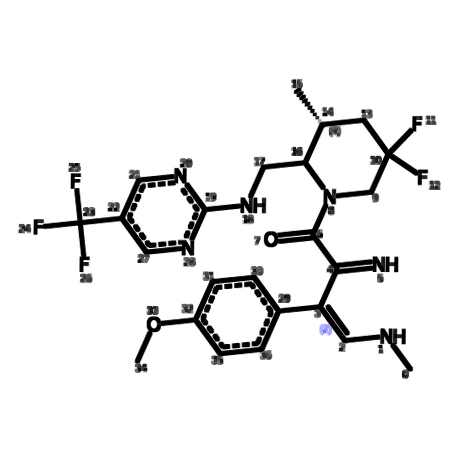 CN/C=C(\C(=N)C(=O)N1CC(F)(F)C[C@@H](C)C1CNc1ncc(C(F)(F)F)cn1)c1ccc(OC)cc1